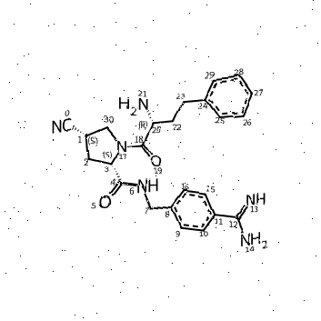 N#C[C@H]1C[C@@H](C(=O)NCc2ccc(C(=N)N)cc2)N(C(=O)[C@H](N)CCc2ccccc2)C1